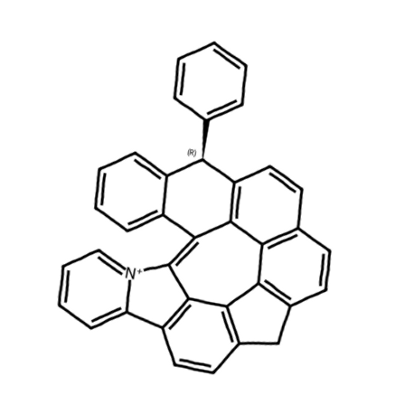 c1ccc([C@@H]2c3ccccc3-c3c4[n+]5ccccc5c5ccc6c(c5-4)c4c(ccc5ccc2c3c54)C6)cc1